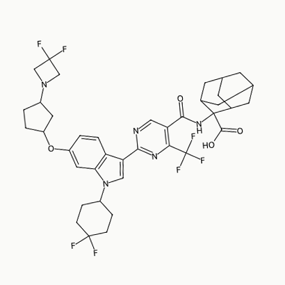 O=C(NC1(C(=O)O)C2CC3CC(C2)CC1C3)c1cnc(-c2cn(C3CCC(F)(F)CC3)c3cc(OC4CCC(N5CC(F)(F)C5)C4)ccc23)nc1C(F)(F)F